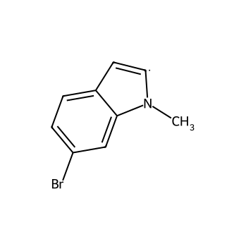 Cn1[c]cc2ccc(Br)cc21